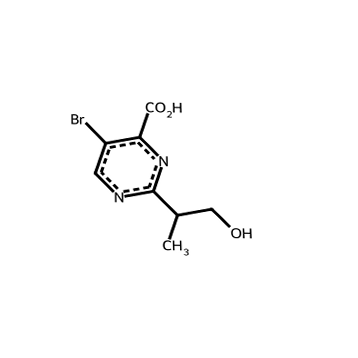 CC(CO)c1ncc(Br)c(C(=O)O)n1